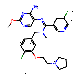 CCOc1ncc(/N=C(/C2=CN=CC(F)C2)N(C)Cc2ccc(F)c(OCCN3CCCC3)c2)c(N)n1